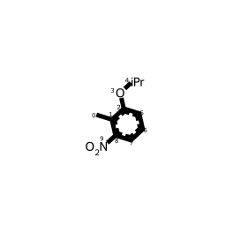 Cc1c(OC(C)C)cccc1[N+](=O)[O-]